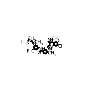 Cc1ccc(C(=O)Nc2cc(N(C)CCN(C)C)cc(C(F)(F)F)c2)cc1-n1cc(-c2cnn(C)c2-c2ccc(Cl)cc2)nn1